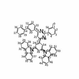 Cc1cccc(-c2nc(-c3cccc(-c4ccccc4)c3)cc(-c3cc(-n4c5ccccc5c5ccccc54)cc(-n4c5ccccc5c5ccccc54)c3)n2)c1